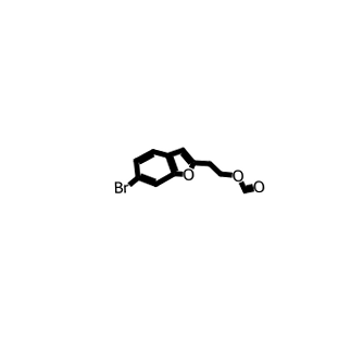 O=COCCc1cc2ccc(Br)cc2o1